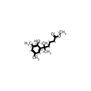 COC(=O)CCCC(C)(C)c1cc(C)cc(C)c1O